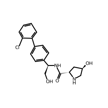 O=C(N[C@@H](CO)c1ccc(-c2ccccc2Cl)cc1)[C@@H]1C[C@@H](O)CN1